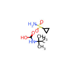 CC(C)(C)NC(=O)O.NS(=O)(=O)C1CC1